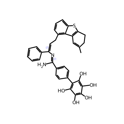 CC1=Cc2c(sc3cccc(C/C=C(\N=C(/N)c4ccc(-c5c(O)c(O)c(O)c(O)c5O)cc4)c4ccccc4)c23)CC1